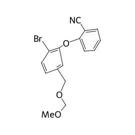 COCOCc1ccc(Br)c(Oc2ccccc2C#N)c1